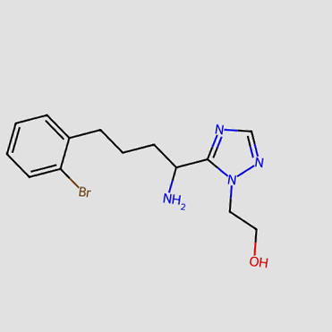 NC(CCCc1ccccc1Br)c1ncnn1CCO